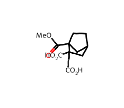 COC(=O)C12CCC(C1)CC2(C(=O)O)C(=O)O